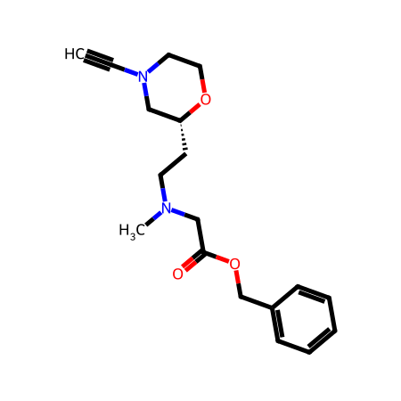 C#CN1CCO[C@H](CCN(C)CC(=O)OCc2ccccc2)C1